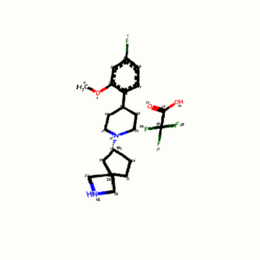 COc1cc(F)ccc1C1CCN([C@@H]2CCC3(CNC3)C2)CC1.O=C(O)C(F)(F)F